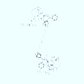 CN[C@@H](C)C(=O)N[C@H]1CCCC[C@H]2CC[C@@H](C(=O)N[C@@H](c3ccccc3)c3cn(CCCCCOCCCCn4cc([C@@H](NC(=O)[C@@H]5CC[C@@H]6CCCC[C@H](NC(=O)[C@H](C)NC)C(=O)N65)c5ccccc5)nn4)nn3)N2C1=O